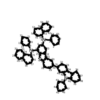 c1ccc(N(c2cc(N(c3ccccc3)c3cccc4ccccc34)c3sc4ccc(-c5ccc6c7ccccc7n(-c7ccccc7)c6c5)cc4c3c2)c2cccc3ccccc23)cc1